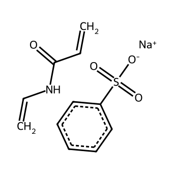 C=CNC(=O)C=C.O=S(=O)([O-])c1ccccc1.[Na+]